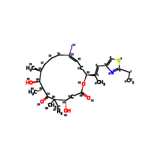 C/C(=C\c1csc(CC(F)(F)F)n1)[C@@H]1C/C=C(/I)CCC[C@H](C)[C@H](O)[C@@H](C)C(=O)C(C)(C)[C@@H](O)CC(=O)O1